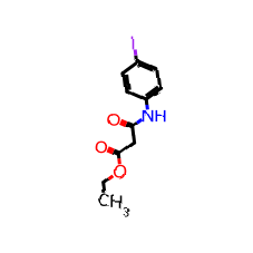 CCOC(=O)CC(=O)Nc1ccc(I)cc1